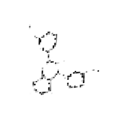 COc1cccc(-c2nc(-c3cccc(SC)n3)nc3ccccc23)c1